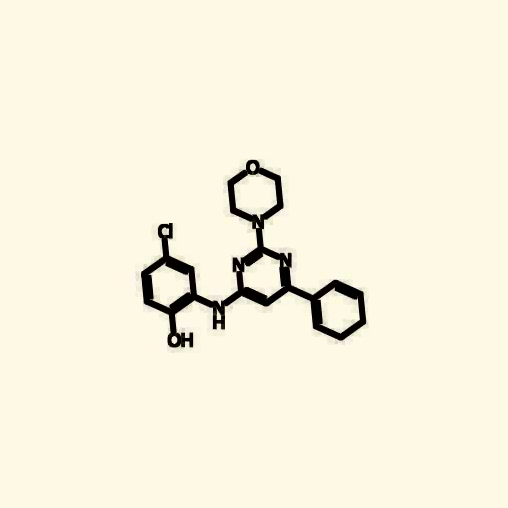 Oc1ccc(Cl)cc1Nc1cc(C2=CCCC=C2)nc(N2CCOCC2)n1